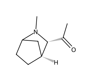 CC(=O)[C@@H]1[C@H]2CCC(C2)N1C